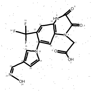 O=C(O)Cn1c(=O)c(=O)[nH]c2cc(C(F)(F)F)c(-n3ccc(/C=N\O)c3)cc21